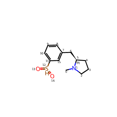 CN1CCC[C@@H]1Cc1[c]ccc([SH](=O)=O)c1